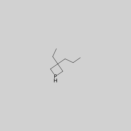 CCCC1(CC)CPC1